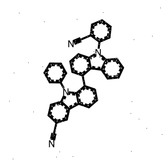 N#Cc1ccc2c(c1)c1cccc(-c3cccc4c3c3ccccc3n4-c3ccccc3C#N)c1n2-c1ccccc1